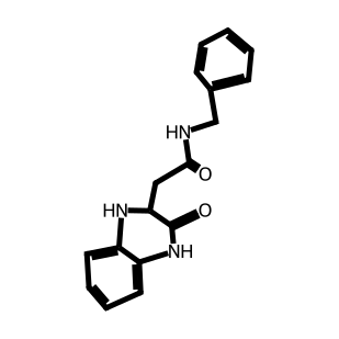 O=C(CC1Nc2ccccc2NC1=O)NCc1ccccc1